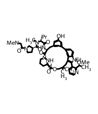 CCn1c(-c2cccnc2[C@H](C)OC)c2c3cc(ccc31)-c1cc(O)cc(c1)C[C@H](NC(=O)[C@H](C(C)C)N(C)C(=O)[C@H]1CCN(C(=O)CNC)C1)C(=O)N1CCC[C@H](N1)C(=O)OCC(C)(C)C2